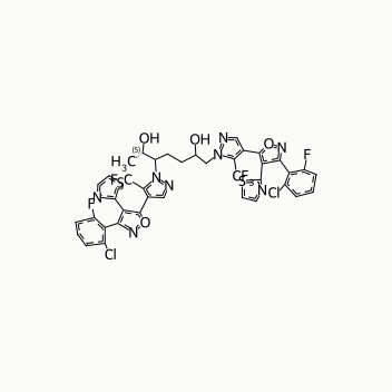 C[C@H](O)C(CCC(O)Cn1ncc(-c2onc(-c3c(F)cccc3Cl)c2-c2nccs2)c1C(F)(F)F)n1ncc(-c2onc(-c3c(F)cccc3Cl)c2-c2nccs2)c1C(F)(F)F